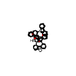 c1ccc(C2=NC(c3cccc4oc5cccc(-c6ccc7c(c6)oc6cccc(-n8c9ccccc9c9ccccc98)c67)c5c34)NC(c3ccccc3)=N2)cc1